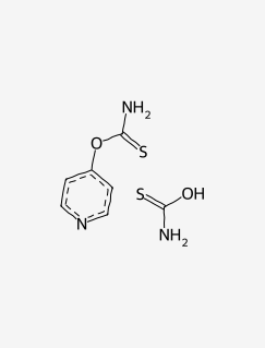 NC(=S)Oc1ccncc1.NC(O)=S